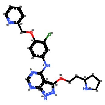 Clc1cc(Nc2ncnc3[nH]nc(OCCC4CCCN4)c23)ccc1OCc1ccccn1